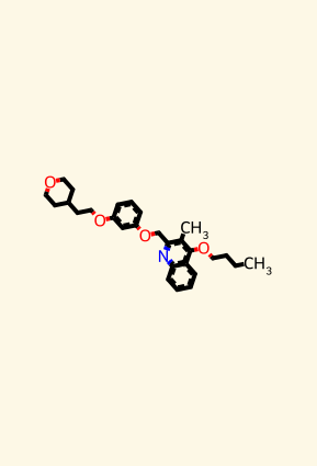 CCCCOc1c(C)c(COc2cccc(OCCC3CCOCC3)c2)nc2ccccc12